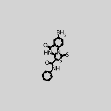 Bc1ccc2c(c1)c(=O)[nH]c1c(C(=O)Nc3ccccc3)sc(=S)n12